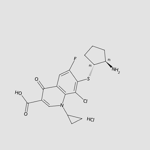 Cl.N[C@@H]1CCC[C@H]1Sc1c(F)cc2c(=O)c(C(=O)O)cn(C3CC3)c2c1Cl